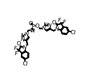 O=C1N(Cc2cn(CO[PH](=O)OCn3cc(CN4C(=O)C(F)(F)c5cc(Cl)ccc54)nn3)nn2)c2ccc(Cl)cc2C1(F)F